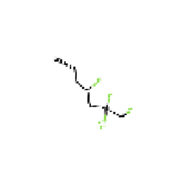 C=CCC(F)CC(F)(F)CF